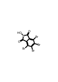 O=C1c2c(Br)c(Br)c(Br)c(Br)c2C(=O)N1O